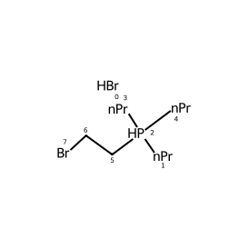 Br.CCC[PH](CCC)(CCC)CCBr